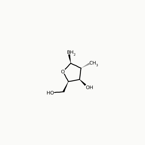 B[C@@H]1O[C@H](CO)[C@H](O)[C@H]1C